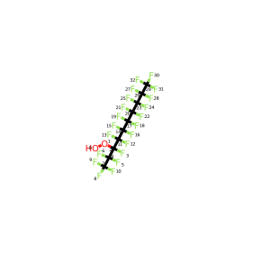 OOC(F)(C(F)(F)C(F)(F)F)C(F)(F)C(F)(F)C(F)(F)C(F)(F)C(F)(F)C(F)(F)C(F)(F)F